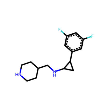 Fc1cc(F)cc(C2CC2NCC2CCNCC2)c1